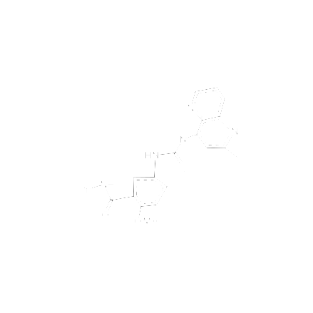 CCCNC(=O)c1cc(NC(=O)Nc2cc(C)nc3cccnc23)ccc1OC